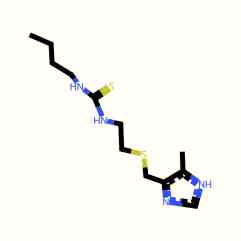 CCCCNC(=S)NCCSCc1nc[nH]c1C